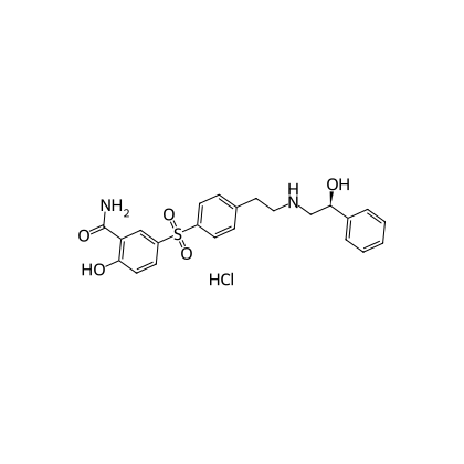 Cl.NC(=O)c1cc(S(=O)(=O)c2ccc(CCNC[C@@H](O)c3ccccc3)cc2)ccc1O